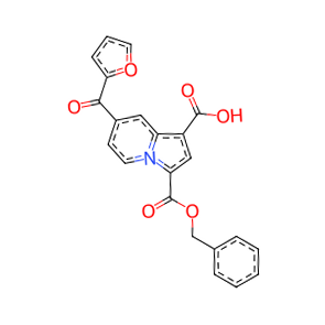 O=C(c1ccn2c(C(=O)OCc3ccccc3)cc(C(=O)O)c2c1)c1ccco1